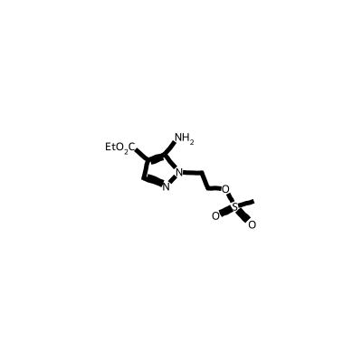 CCOC(=O)c1cnn(CCOS(C)(=O)=O)c1N